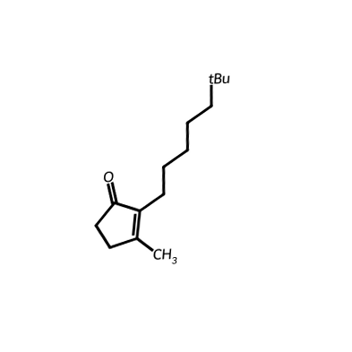 CC1=C(CCCCCC(C)(C)C)C(=O)CC1